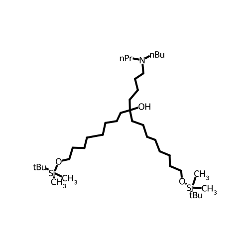 CCCCN(CCC)CCCCC(O)(CCCCCCCCO[Si](C)(C)C(C)(C)C)CCCCCCCCO[Si](C)(C)C(C)(C)C